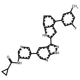 Cc1cc(F)cc(-c2cccc3[nH]c(-c4n[nH]c5ncc(-c6cncc(NC(=O)C7CC7)c6)cc45)cc23)c1